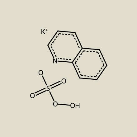 O=S(=O)([O-])OO.[K+].c1ccc2ncccc2c1